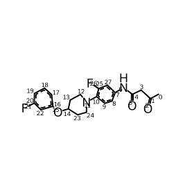 CC(=O)CC(=O)Nc1ccc(N2CCC(Oc3cccc(F)c3)CC2)c(F)c1